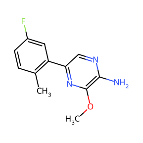 COc1nc(-c2cc(F)ccc2C)cnc1N